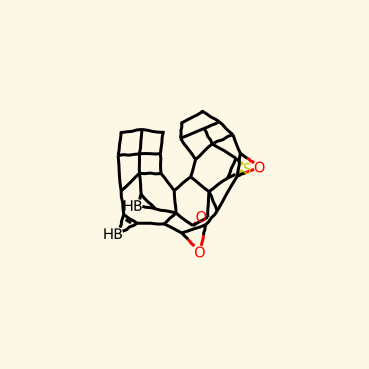 B1C2=C1C1C3CC4CC5C6C7C8C9C%10CCC%11C%10C9%10C9SC9C89C8OC8C7(C7BC7C16C435)C2C1OC1C9C1OC1C%11%10